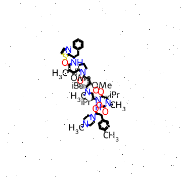 CC[C@H](C)[C@@H]([C@@H](CC(=O)N1CCC[C@H]1[C@H](OC)[C@@H](C)C(=O)NC(Cc1ccccc1)c1nccs1)OC)N(C)C(=O)[C@@H](NC(=O)[C@H](C(C)C)N(C)C(=O)OC(C(=O)N1CCN(C)CC1)c1ccc(C)cc1)C(C)C